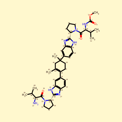 COC(=O)N[C@H](C(=O)N1CCC[C@H]1c1nc2cc(C3(C)CCC(c4ccc5nc([C@@H]6CCCN6C(=O)[C@@H](N)C(C)C)[nH]c5c4)=C(C)C3)ccc2[nH]1)C(C)C